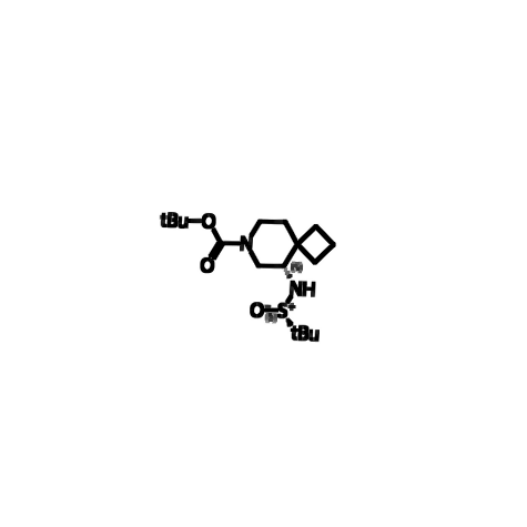 CC(C)(C)OC(=O)N1CCC2(CCC2)[C@H](N[S@+]([O-])C(C)(C)C)C1